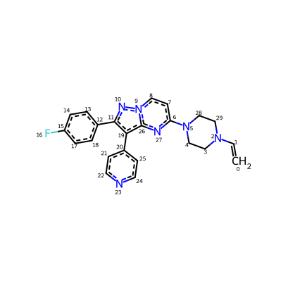 C=CN1CCN(c2ccn3nc(-c4ccc(F)cc4)c(-c4ccncc4)c3n2)CC1